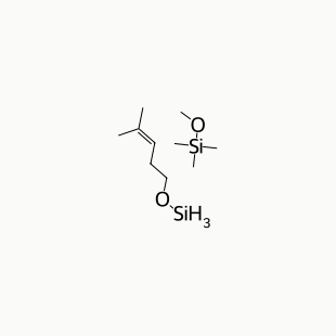 CC(C)=CCCO[SiH3].CO[Si](C)(C)C